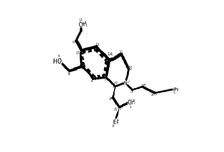 CC[C@H](O)C[C@H]1c2cc(CO)c(CO)cc2CCN1CCCC(C)C